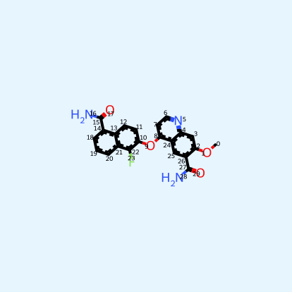 COc1cc2nccc(Oc3ccc4c(C(N)=O)cccc4c3F)c2cc1C(N)=O